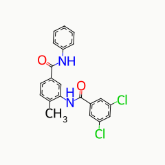 Cc1ccc(C(=O)Nc2ccccc2)cc1NC(=O)c1cc(Cl)cc(Cl)c1